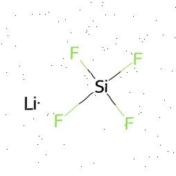 F[Si](F)(F)F.[Li]